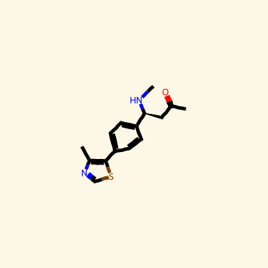 CN[C@@H](CC(C)=O)c1ccc(-c2scnc2C)cc1